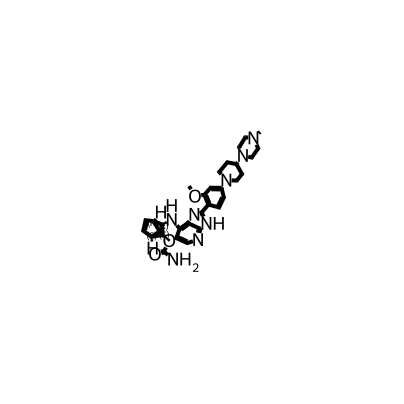 COc1cc(N2CCC(N3CCN(C)CC3)CC2)ccc1-c1nc2c(N[C@H]3[C@@H](OC(N)=O)[C@@H]4C=C[C@H]3C4)ccnc2[nH]1